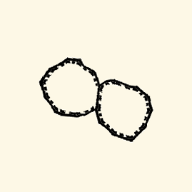 c1ccccc2ccccccccc2ccc1